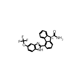 NC(=O)[C@@H]1c2ccccc2-c2c(-c3nc4cc(OC(F)(F)F)ccc4[nH]3)cccc21